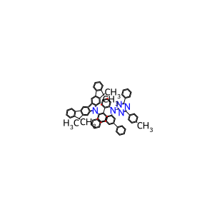 Cc1ccc(-c2nc(-c3ccccc3)nc(N(c3cc(-c4ccccc4)cc(-c4ccccc4)c3)c3ccccc3-c3ccccc3-n3c4cc5c(cc4c4cc6c(cc43)C(C)(C)c3ccccc3-6)-c3ccccc3C5(C)C)n2)cc1